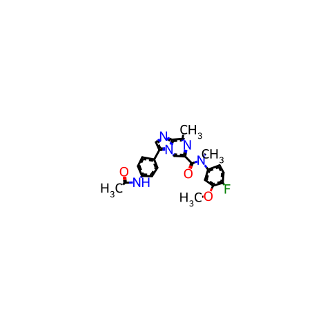 COc1cc(N(C)C(=O)c2cn3c(-c4ccc(NC(C)=O)cc4)cnc3c(C)n2)ccc1F